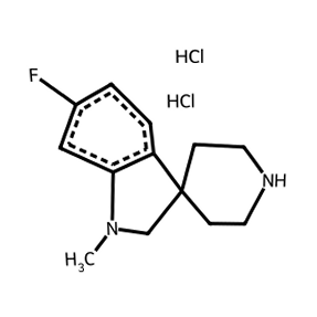 CN1CC2(CCNCC2)c2ccc(F)cc21.Cl.Cl